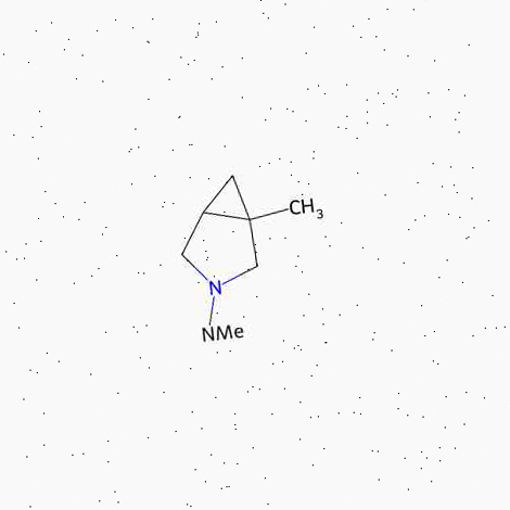 CNN1CC2CC2(C)C1